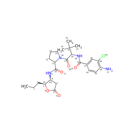 CCC[C@@H]1OC(=O)C[C@@H]1NC(=O)C1CCCN1C(=O)C(NC(=O)c1ccc(N)c(Cl)c1)C(C)(C)C